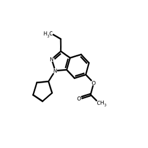 CCc1nn(C2CCCC2)c2cc(OC(C)=O)ccc12